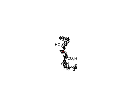 Cc1c(-c2ccc(N3CCc4cccc(C(=O)Nc5nc6ccccc6s5)c4C3)nc2C(=O)O)cnn1CC12CC3(C)CC(C)(C1)CC(OCCN(CCC(=O)O)C(=O)OCc1ccc(NC(=O)[C@H](C)NC(=O)[C@@H](NC(=O)CCCCCN4C(=O)C=CC4=O)C(C)C)cc1)(C3)C2